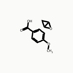 C1C2OC12.COc1ccc(C(=O)O)cc1